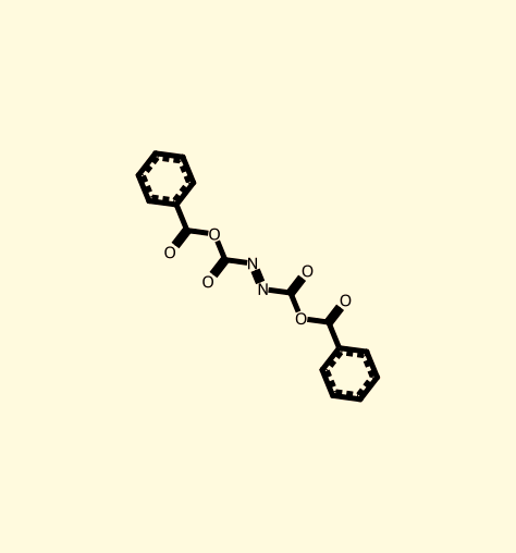 O=C(N=NC(=O)OC(=O)c1ccccc1)OC(=O)c1ccccc1